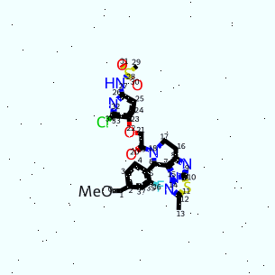 COCc1ccc(C2c3c(nc4sc(C)nn34)CCN2C(=O)COc2ccc(NS(C)(=O)=O)nc2Cl)c(F)c1